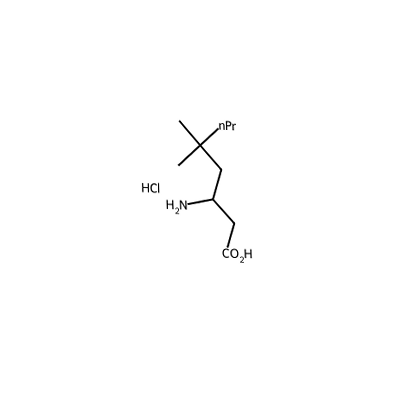 CCCC(C)(C)CC(N)CC(=O)O.Cl